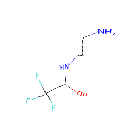 NCCNC(O)C(F)(F)F